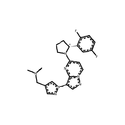 CN(C)Cc1cnn(-c2cnn3ccc(N4CCC[C@@H]4c4cc(F)ccc4F)nc23)c1